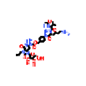 C=CCn1c(=O)n([C@@H]2O[C@H](CO)[C@@H](O)[C@H]2O)c2cc(NC(=O)OCc3ccc(NC(=O)[C@H](CCCCN)NC(=O)[C@@H](NC(C)=O)C(C)C)cc3)[nH]c(=O)c21